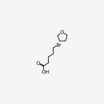 C1CCOC1.O=C(O)CCCCBr